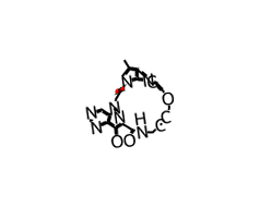 Cc1cn2c3ncc(cc13)OCCCCNC(=O)c1nn(c3cncnc3c1=O)CC21CCCC1